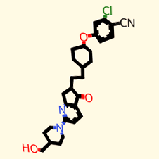 N#Cc1ccc(OC2CCC(CCC3Cc4nc(N5CCC(CO)CC5)ccc4C3=O)CC2)cc1Cl